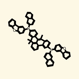 Cc1c2c3c(cccc3c3cc(N(c4ccc5ccccc5c4)c4ccc5oc6ccccc6c5c4)ccc13)C(C)(C)c1cc(N(c3ccc4ccccc4c3)c3ccc4oc5ccccc5c4c3)ccc1-2